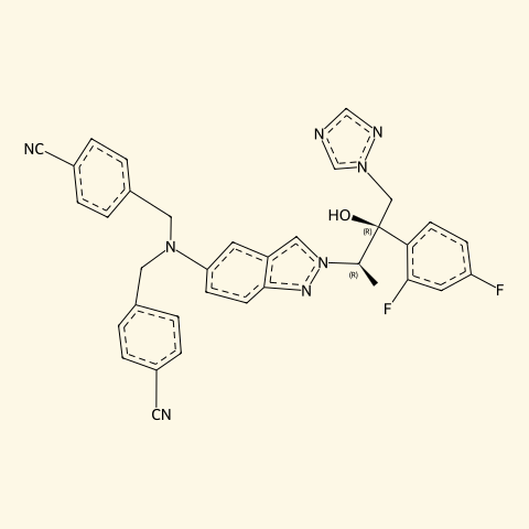 C[C@@H](n1cc2cc(N(Cc3ccc(C#N)cc3)Cc3ccc(C#N)cc3)ccc2n1)[C@](O)(Cn1cncn1)c1ccc(F)cc1F